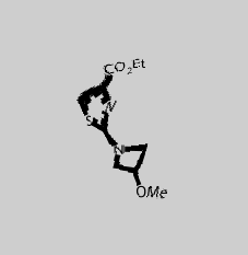 CCOC(=O)c1csc(N2CC(OC)C2)n1